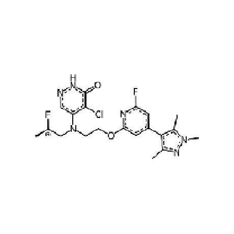 Cc1nn(C)c(C)c1-c1cc(F)nc(OCCN(C[C@@H](C)F)c2cn[nH]c(=O)c2Cl)c1